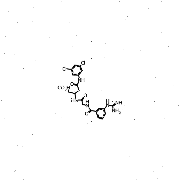 N=C(N)Nc1cccc(C(=O)NCC(=O)NC(CC(=O)O)CC(=O)Nc2cc(Cl)cc(Cl)c2)c1